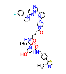 Cc1ncsc1-c1ccc(CNC(=O)[C@@H]2C[C@@H](O)CN2C(=O)[C@@H](NC(=O)CCCC(=O)N2CCN(c3cccc(-c4cnc5ccc(N6CCC[C@@H]6c6cccc(F)c6)nn45)n3)CC2)C(C)(C)C)cc1